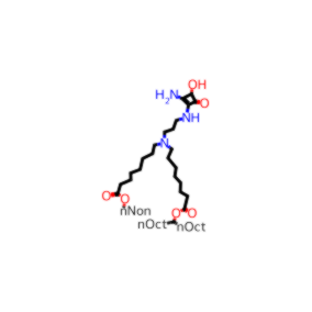 CCCCCCCCCOC(=O)CCCCCCCN(CCCCCCCC(=O)OC(CCCCCCCC)CCCCCCCC)CCCNC1=C(N)C(O)C1=O